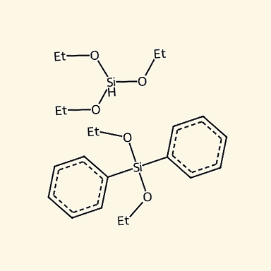 CCO[SiH](OCC)OCC.CCO[Si](OCC)(c1ccccc1)c1ccccc1